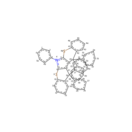 c1ccc(-n2c3c(c4c2Sc2ccccc2C4(c2ccccc2)c2ccccc2)C(c2ccccc2)(c2ccccc2)c2ccccc2S3)cc1